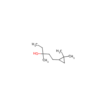 CCC(C)(O)CCC1CC1(C)C